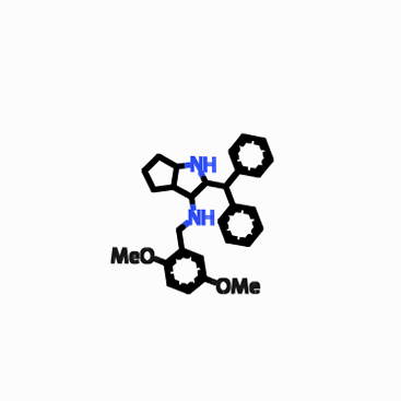 COc1ccc(OC)c(CNC2C3CCCC3NC2C(c2ccccc2)c2ccccc2)c1